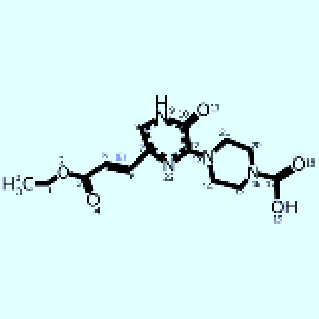 CCOC(=O)/C=C/c1c[nH]c(=O)c(N2CCN(C(=O)O)CC2)n1